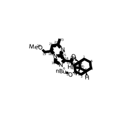 CCCCO[C@H]1C[C@H]2CCC[C@@H](C1)[C@H]2NC(=O)c1ncn2c(COC)cc(C)nc12